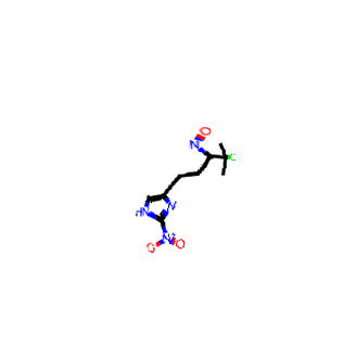 CC(C)(Cl)C(CCc1c[nH]c([N+](=O)[O-])n1)N=O